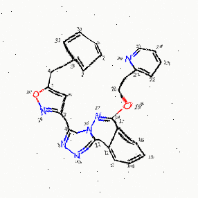 c1ccc(Cc2cc(-c3nnc4c5ccccc5c(OCc5ccccn5)nn34)no2)cc1